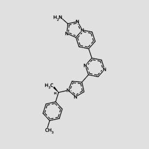 Cc1ccc([C@@H](C)n2cc(-c3cncc(-c4ccn5nc(N)nc5c4)n3)cn2)cc1